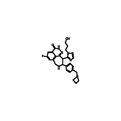 O=c1[nH]nc2c3c(cc(F)cc13)CNC(c1ccc(CN3CCC3)cc1)C2c1ncnn1CCCO